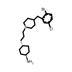 N[C@H]1CC[C@H](CCCN2CCC(Cc3cc(Cl)ccc3Br)CC2)CC1